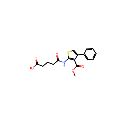 COC(=O)c1c(-c2ccccc2)csc1NC(=O)CCCC(=O)O